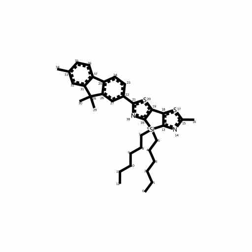 CCCCCC[Si]1(CCCCCC)c2nc(C)sc2-c2sc(-c3ccc4c(c3)C(C)(C)c3cc(C)ccc3-4)nc21